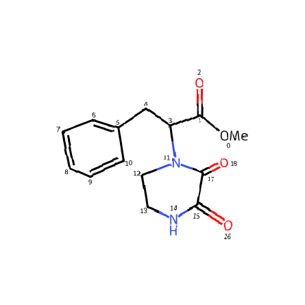 COC(=O)C(Cc1ccccc1)N1CCNC(=O)C1=O